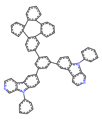 c1ccc(-n2c3ccc(-c4cc(-c5ccc6c(c5)-c5ccccc5-c5ccccc5-c5ccccc5-6)cc(-c5ccc6c(c5)c5ccncc5n6-c5ccccc5)c4)cc3c3ccncc32)cc1